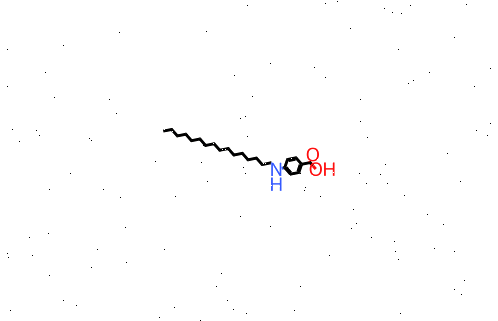 CCCCCCCCCCCCCCCCNc1ccc(C(=O)O)cc1